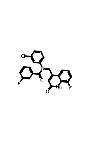 O=C(c1cccc(F)c1)N(Cc1cc(=O)[nH]c2c(F)cccc12)c1cccc(Cl)c1